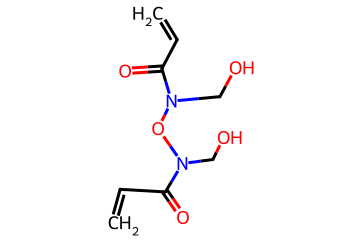 C=CC(=O)N(CO)ON(CO)C(=O)C=C